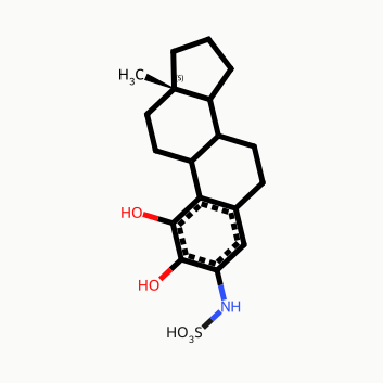 C[C@@]12CCCC1C1CCc3cc(NS(=O)(=O)O)c(O)c(O)c3C1CC2